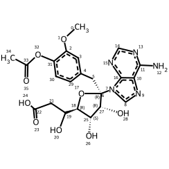 COc1cc(C[C@@]2(n3cnc4c(N)ncnc43)O[C@H](C(O)CC(=O)O)[C@@H](O)[C@H]2O)ccc1OC(C)=O